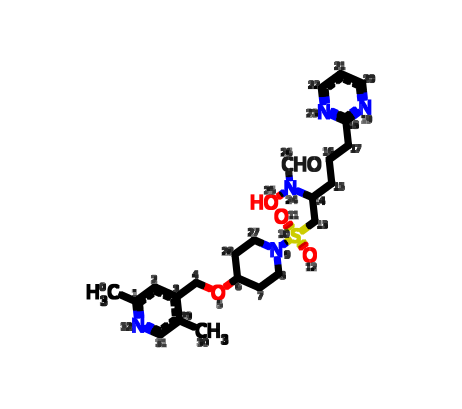 Cc1cc(COC2CCN(S(=O)(=O)CC(CCCc3ncccn3)N(O)C=O)CC2)c(C)cn1